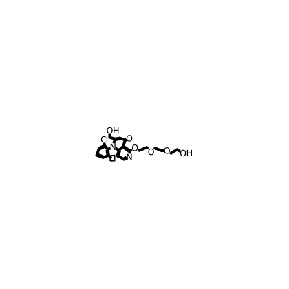 O=c1cc(CO)n(-c2c(Cl)cccc2Cl)c2c(Cl)cnc(OCCOCCOCCO)c12